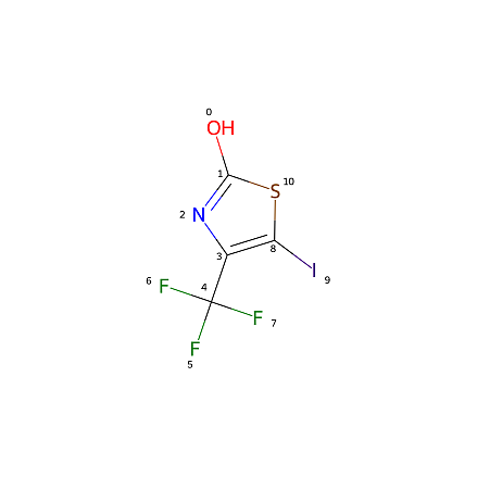 Oc1nc(C(F)(F)F)c(I)s1